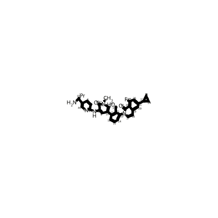 CC(C)C(N)c1ccc(Nc2cc(-c3cccc(-n4ccc5cc(C6CC6)cc(F)c5c4=O)c3CO)cn(C)c2=O)nc1